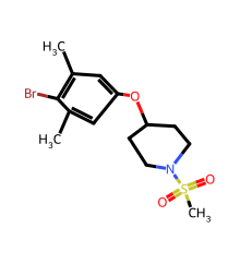 Cc1cc(OC2CCN(S(C)(=O)=O)CC2)cc(C)c1Br